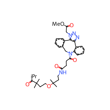 COC(=O)Cn1nnc2c1-c1ccccc1CN(C(=O)CCC(=O)NCCC(C)(C)OCCC(C)(C)C(=O)C(C)C)c1ccccc1-2